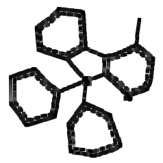 Cc1ccnc2c1-c1ccccc1[Si]2(c1ccccc1)c1ccccc1